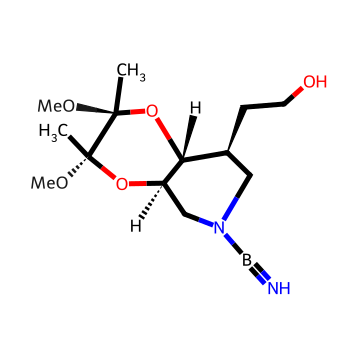 CO[C@@]1(C)O[C@@H]2[C@@H](CCO)CN(B=N)C[C@H]2O[C@]1(C)OC